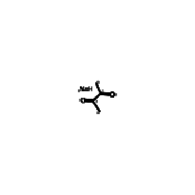 CC(=O)C(C)=O.[NaH]